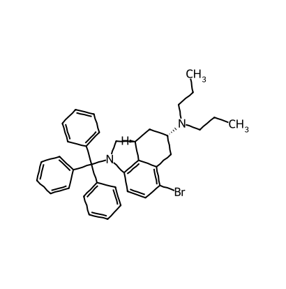 CCCN(CCC)[C@@H]1Cc2c(Br)ccc3c2[C@@H](C1)CN3C(c1ccccc1)(c1ccccc1)c1ccccc1